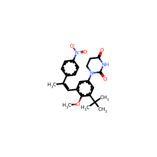 COc1c(C=C(C)c2ccc([N+](=O)[O-])cc2)cc(N2CCC(=O)NC2=O)cc1C(C)(C)C